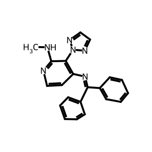 CNc1nccc(N=C(c2ccccc2)c2ccccc2)c1-n1nccn1